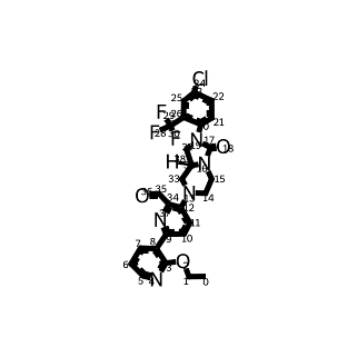 CCOc1ncccc1-c1ccc(N2CCN3C(=O)N(c4ccc(Cl)cc4C(F)(F)F)C[C@H]3C2)c(C=O)n1